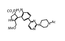 CCOC(=O)C1CNC(COC)=C1c1cc(-c2ccnc(N3CCN(C(C)=O)CC3)n2)ccc1N